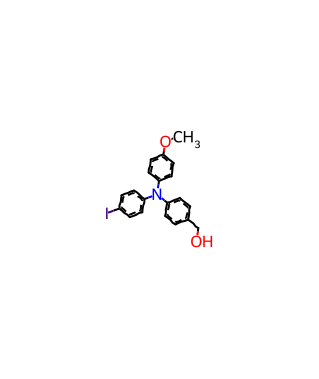 COc1ccc(N(c2ccc(I)cc2)c2ccc(CO)cc2)cc1